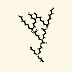 C=CCCN(CCC=C)CCCSC(=O)N(CCCC(=O)OC(CCCCCCC)CCCCCCC)CCCC(=O)OC(CCCCCCC)CCCCCCC